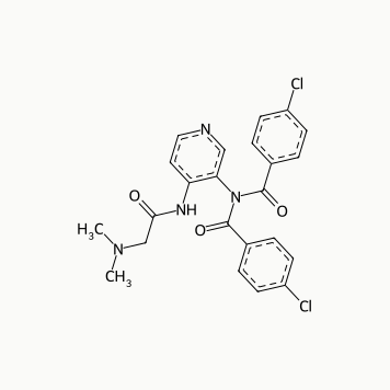 CN(C)CC(=O)Nc1ccncc1N(C(=O)c1ccc(Cl)cc1)C(=O)c1ccc(Cl)cc1